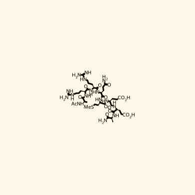 CSCC[C@@H](NC(=O)[C@H](CCC(N)=O)NC(=O)[C@H](CCCNC(=N)N)NC(=O)[C@H](CCCNC(=N)N)NC(=O)[C@H](C)NC(C)=O)C(=O)N[C@@H](CCC(=O)O)C(=O)N[C@@H](CCC(=O)O)C(=O)N[C@@H](C)C(N)=O